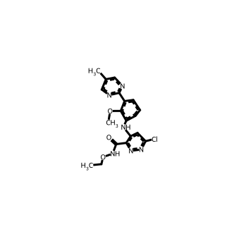 CCONC(=O)c1nnc(Cl)cc1Nc1cccc(-c2ncc(C)cn2)c1OC